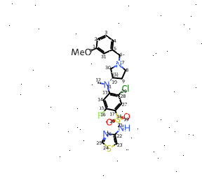 COc1cccc(CN2CC[C@H](N(C)c3cc(F)c(S(=O)(=O)Nc4cscn4)cc3Cl)C2)c1